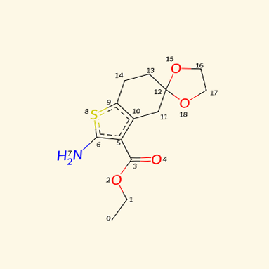 CCOC(=O)c1c(N)sc2c1CC1(CC2)OCCO1